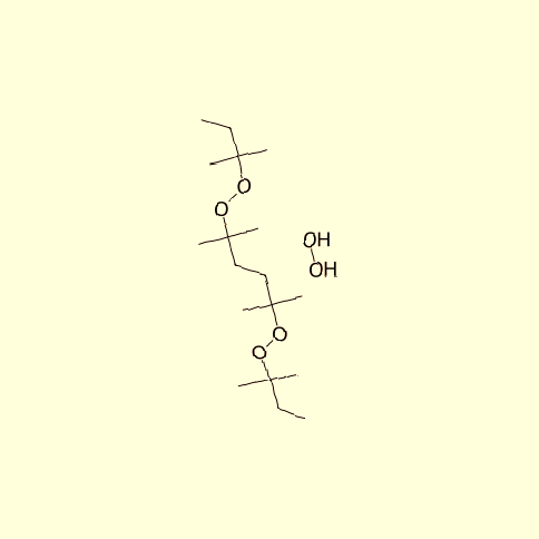 CCC(C)(C)OOC(C)(C)CCC(C)(C)OOC(C)(C)CC.OO